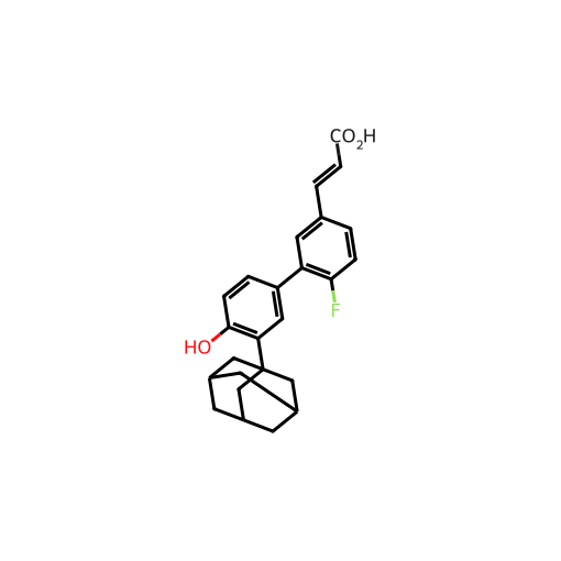 O=C(O)C=Cc1ccc(F)c(-c2ccc(O)c(C34CC5CC(CC(C5)C3)C4)c2)c1